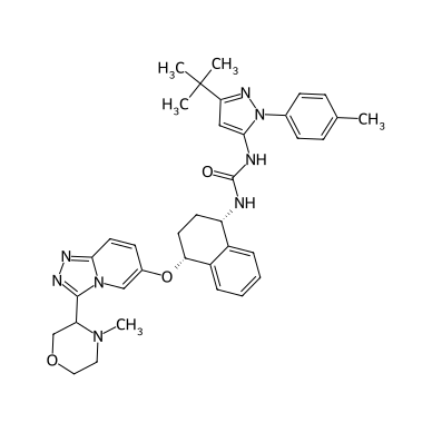 Cc1ccc(-n2nc(C(C)(C)C)cc2NC(=O)N[C@H]2CC[C@@H](Oc3ccc4nnc(C5COCCN5C)n4c3)c3ccccc32)cc1